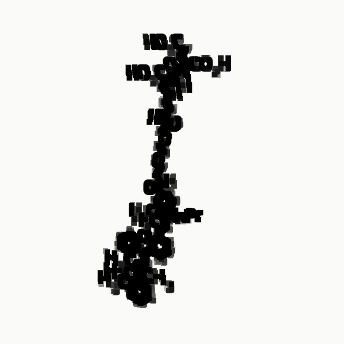 C=C(/C=C/C1=C(Oc2ccccc2)C(=C/C=C2/N(CCC)c3ccc(C(=O)NCCOCCOCC(=O)NCCCC[C@H](NC(=O)N[C@@H](CCC(=O)O)C(=O)O)C(=O)O)cc3C2(C)C)/CCC1)C(C)(C)c1ccccc1C